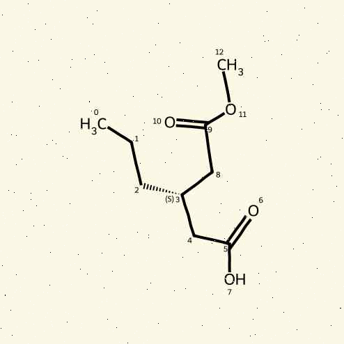 CCC[C@@H](CC(=O)O)CC(=O)OC